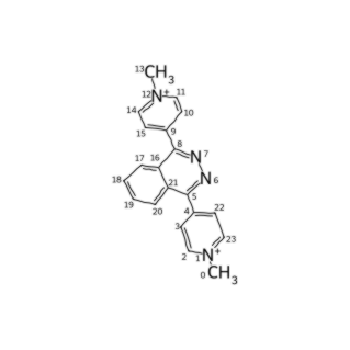 C[n+]1ccc(-c2nnc(-c3cc[n+](C)cc3)c3ccccc23)cc1